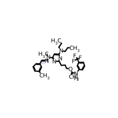 C=C(Nc1cccc(C(F)(F)F)c1)OCCCc1nc(N(CCC)CCC)cc(N(C)/N=C/c2cccc(C)c2)n1